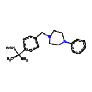 CC(=O)NC(C)(C)c1ccc(CN2CCN(c3ccccc3)CC2)cc1